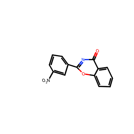 O=c1nc(-c2cccc([N+](=O)[O-])c2)oc2ccccc12